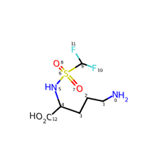 NCCCC(NS(=O)(=O)C(F)F)C(=O)O